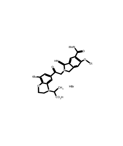 Br.CCOc1cc2c(cc1C(=O)NC)C(=N)N(CC(=O)c1cc3c(c(C(C)(C)C)c1)OCCN3C(C)C(=O)O)C2